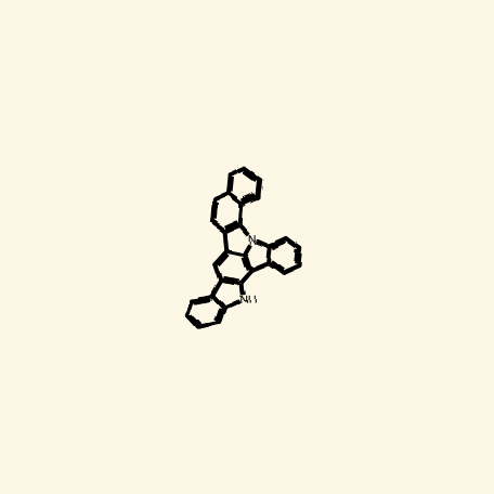 c1ccc2c(c1)ccc1c3cc4c5ccccc5[nH]c4c4c5ccccc5n(c21)c34